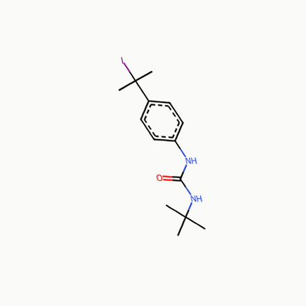 CC(C)(C)NC(=O)Nc1ccc(C(C)(C)I)cc1